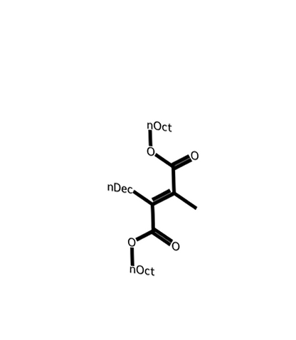 CCCCCCCCCCC(C(=O)OCCCCCCCC)=C(C)C(=O)OCCCCCCCC